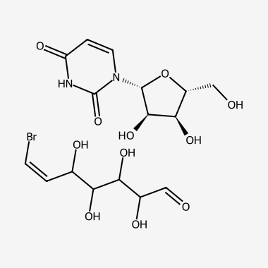 O=CC(O)C(O)C(O)C(O)/C=C\Br.O=c1ccn([C@@H]2O[C@H](CO)[C@@H](O)[C@H]2O)c(=O)[nH]1